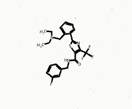 CCN(CC)Cc1ccccc1-c1nc(C(F)(F)F)c(C(=O)NCc2cccc(F)c2)s1